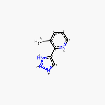 Cc1cccnc1-c1cnn[nH]1